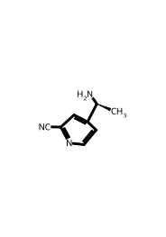 C[C@H](N)c1ccnc(C#N)c1